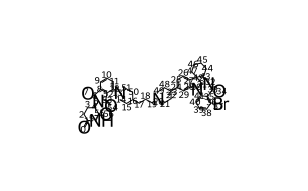 O=C1CCC(N2C(=O)c3cccc(N4CCC(CCCN5CCC(c6ccc7c(c6)-n6c(nc(=O)c8c(Br)cccc86)C76CCCCC6)CC5)CC4)c3C2=O)C(=O)N1